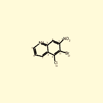 O=[N+]([O-])c1cc2ncccc2c(Cl)c1Br